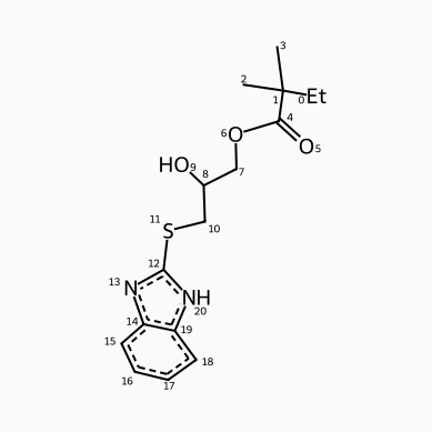 CCC(C)(C)C(=O)OCC(O)CSc1nc2ccccc2[nH]1